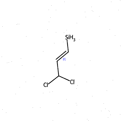 [SiH3]/C=C/C(Cl)Cl